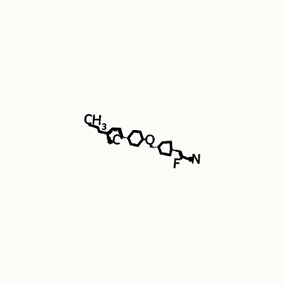 CCCCc1ccc([C@H]2CC[C@H](OC[C@H]3CC[C@H](C=C(F)C#N)CC3)CC2)cc1